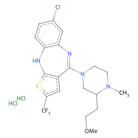 COCCC1CN(C2=Nc3cc(Cl)ccc3Nc3sc(C(F)(F)F)cc32)CCN1C.Cl.Cl